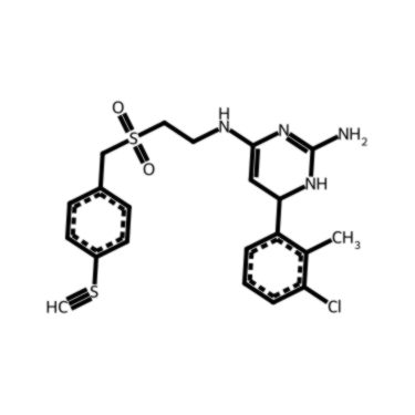 C#Sc1ccc(CS(=O)(=O)CCNC2=CC(c3cccc(Cl)c3C)NC(N)=N2)cc1